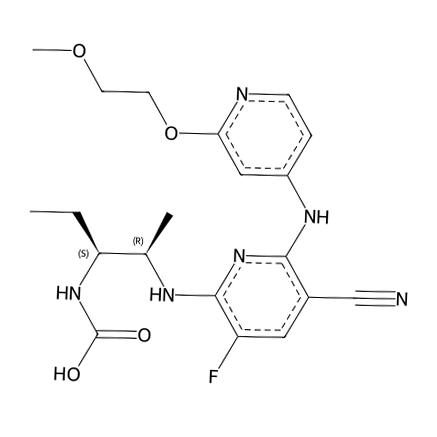 CC[C@H](NC(=O)O)[C@@H](C)Nc1nc(Nc2ccnc(OCCOC)c2)c(C#N)cc1F